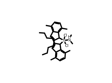 CCCCC1=Cc2c(C)ccc(C)c2[CH]1[Ti]([Cl])([Cl])([CH]1C(CCCC)=Cc2c(C)ccc(C)c21)[SiH](C)C